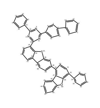 c1ccc(-c2ccc(-c3nc(-c4ccccc4)nc(-c4cccc5c4sc4cc(-c6ccc(-c7ccccc7)c7oc8ccccc8c67)ccc45)n3)cc2)cc1